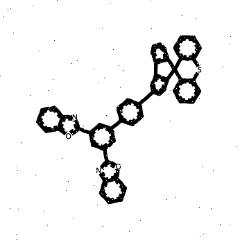 c1ccc2c(c1)Sc1ccccc1C21c2ccccc2-c2cc(-c3ccc(-c4cc(-c5nc6ccccc6o5)cc(-c5nc6ccccc6o5)c4)cc3)ccc21